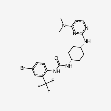 CN(C)c1ccnc(N[C@H]2CC[C@@H](NC(=O)Nc3ccc(Br)cc3C(F)(F)F)CC2)n1